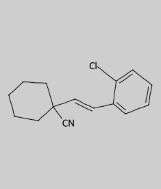 N#CC1(C=Cc2ccccc2Cl)CCCCC1